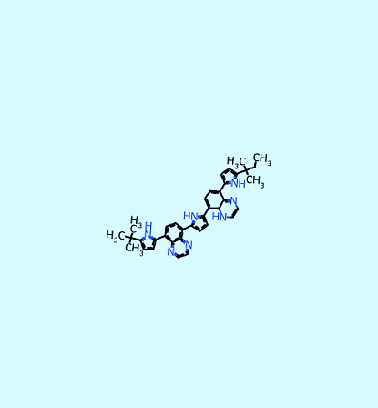 CCC(C)(C)c1ccc(C2=CC=C(c3ccc(-c4ccc(-c5ccc(C(C)(C)C)[nH]5)c5nccnc45)[nH]3)C3NC=CN=C23)[nH]1